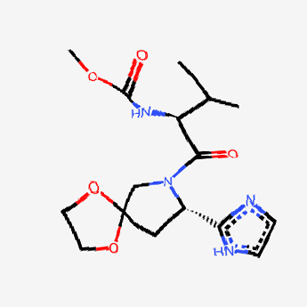 COC(=O)N[C@H](C(=O)N1CC2(C[C@H]1c1ncc[nH]1)OCCO2)C(C)C